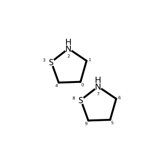 C1CNSC1.C1CNSC1